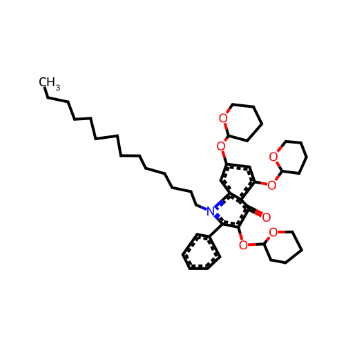 CCCCCCCCCCCCCCn1c(-c2ccccc2)c(OC2CCCCO2)c(=O)c2c(OC3CCCCO3)cc(OC3CCCCO3)cc21